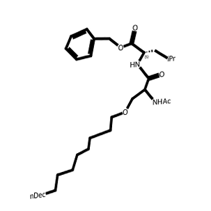 CCCCCCCCCCCCCCCCCCOCC(NC(C)=O)C(=O)N[C@@H](CC(C)C)C(=O)OCc1ccccc1